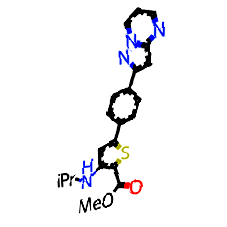 COC(=O)c1sc(-c2ccc(-c3cc4ncccn4n3)cc2)cc1NC(C)C